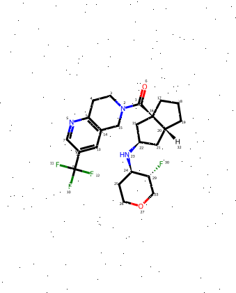 O=C(N1CCc2ncc(C(F)(F)F)cc2C1)[C@@]12CCC[C@@H]1C[C@@H](N[C@@H]1CCOC[C@H]1F)C2